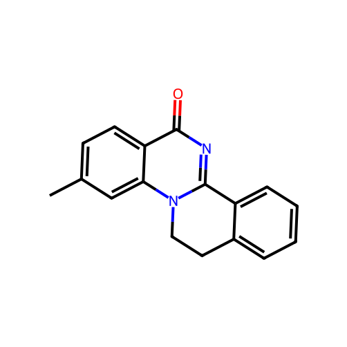 Cc1ccc2c(=O)nc3n(c2c1)CCc1ccccc1-3